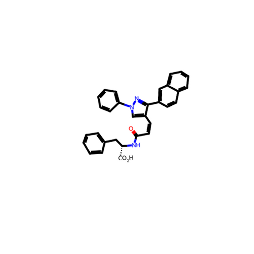 O=C(/C=C\c1cn(-c2ccccc2)nc1-c1ccc2ccccc2c1)N[C@@H](Cc1ccccc1)C(=O)O